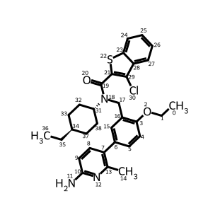 CCOc1ccc(-c2ccc(N)nc2C)cc1CN(C(=O)c1sc2ccccc2c1Cl)[C@H]1CC[C@H](CC)CC1